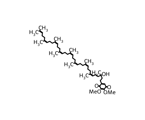 COC1=C(OC)C(=O)C(CCC(C)(O)CCC=C(C)CCC=C(C)CCC=C(C)CCC=C(C)CCC=C(C)CCC=C(C)CCC=C(C)CCC=C(C)C)=CC1=O